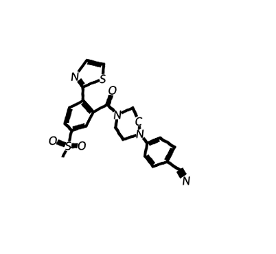 CS(=O)(=O)c1ccc(-c2nccs2)c(C(=O)N2CCN(c3ccc(C#N)cc3)CC2)c1